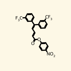 O=C(C=CC=C(c1cccc(C(F)(F)F)c1)c1cccc(C(F)(F)F)c1)Oc1ccc([N+](=O)[O-])cc1